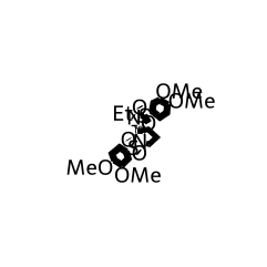 CCN(C[C@@H]1CCCN1S(=O)(=O)c1ccc(OC)c(OC)c1)S(=O)(=O)c1ccc(OC)c(OC)c1